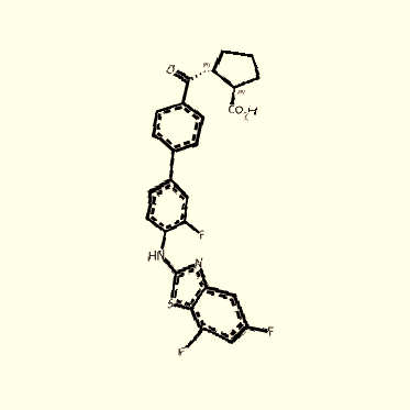 O=C(O)[C@@H]1CCC[C@H]1C(=O)c1ccc(-c2ccc(Nc3nc4cc(F)cc(F)c4s3)c(F)c2)cc1